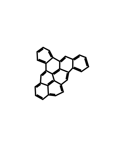 c1ccc2c(c1)cc1c3ccccc3c3cc4cccc5ccc6cc2c1c3c6c54